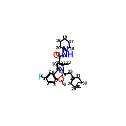 COc1ccc(F)cc1-c1cc(C(=O)NN2CCCCC2)c(C)n1CCC1CCCCC1